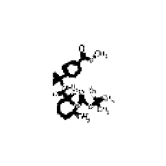 COC(=O)c1ccc(C2(NC(=O)C3(C)CCCC(C)N3C(=O)OC(C)(C)C)CC2)cc1